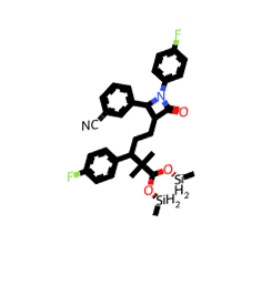 C[SiH2]OC(O[SiH2]C)C(C)(C)C(CCC1C(=O)N(c2ccc(F)cc2)C1c1cccc(C#N)c1)c1ccc(F)cc1